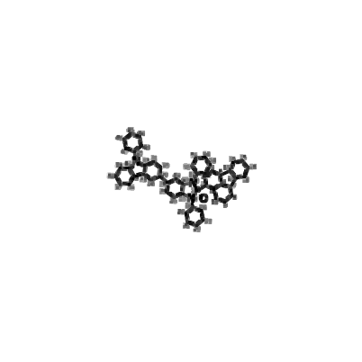 O=P1(c2ccc3c4c(cccc24)-c2ccccc2-3)N(c2ccccc2)c2ccc(-c3ccc4c(c3)c3ccccc3n4-c3ccccc3)cc2N1c1ccccc1